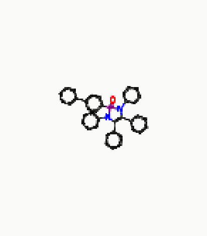 O=P1(c2ccc(-c3ccccc3)cc2)N(c2ccccc2)C(c2ccccc2)=C(c2ccccc2)N1c1ccccc1